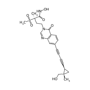 C[C@]1(CO)C[C@@H]1C#CC#Cc1ccc2c(=O)n(CC[C@](C)(C(=O)NO)S(C)(=O)=O)cnc2c1